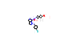 C[C@@H]1C(NC(=O)c2cccc3ccn(Cc4ccc(C(F)(F)F)cc4)c23)CC12CC(C(=O)O)C2